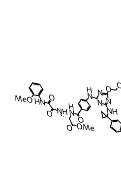 COC(=O)[C@H](CNC(=O)C(=O)Nc1ccccc1OC)NC(=O)c1ccc(Nc2nc(NC3(c4ccc(Cl)cc4)CC3)nc(OCC(F)(F)F)n2)cc1